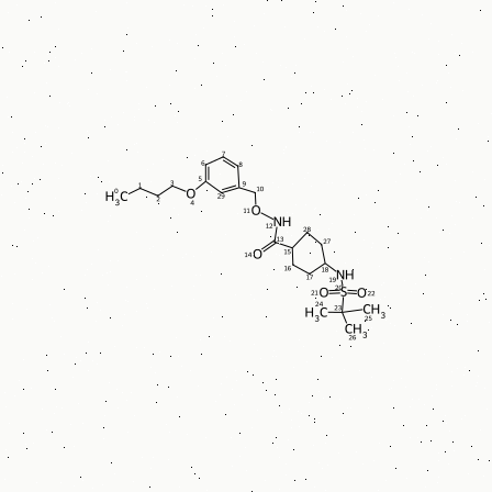 CCCCOc1cccc(CONC(=O)C2CCC(NS(=O)(=O)C(C)(C)C)CC2)c1